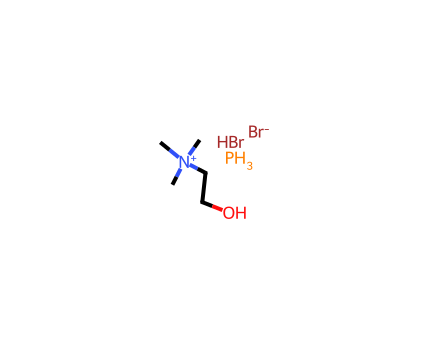 Br.C[N+](C)(C)CCO.P.[Br-]